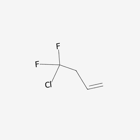 C=CCC(F)(F)Cl